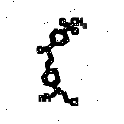 CCCN(CCCl)c1ccc(/C=C/C(=O)c2ccc(S(C)(=O)=O)cc2)cc1